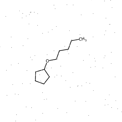 CCCC[CH]OC1CCCC1